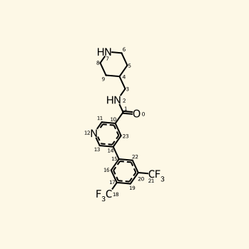 O=C(NCC1CCNCC1)c1cncc(-c2cc(C(F)(F)F)cc(C(F)(F)F)c2)c1